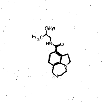 COC(C)CNC(=O)c1ccc2c3c1CCN3CCNC2